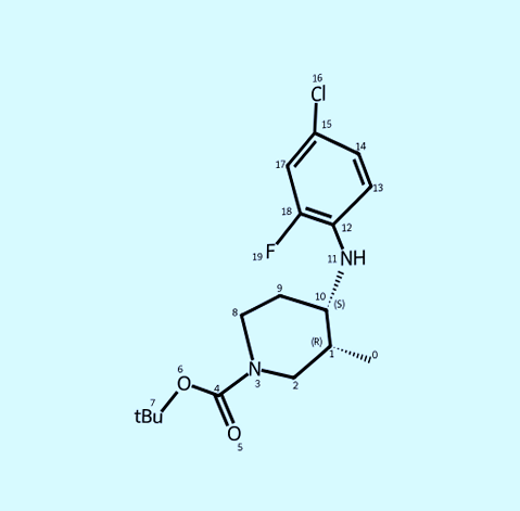 C[C@@H]1CN(C(=O)OC(C)(C)C)CC[C@@H]1Nc1ccc(Cl)cc1F